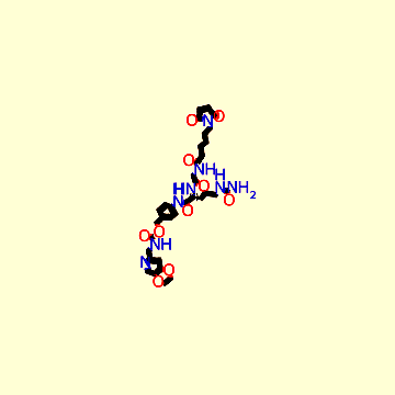 NC(=O)NCCC[C@H](NC(=O)CNC(=O)CCCCCN1C(=O)C=CC1=O)C(=O)Nc1ccc(COC(=O)NCc2cc3c(cn2)OCCO3)cc1